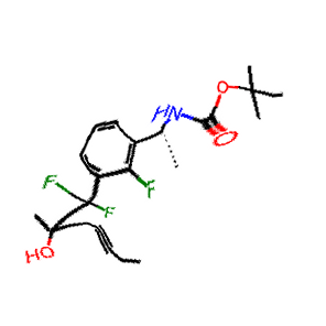 CC#CC(C)(O)C(F)(F)c1cccc([C@@H](C)NC(=O)OC(C)(C)C)c1F